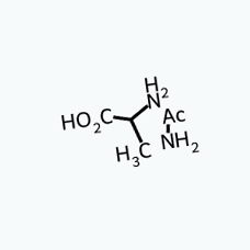 CC(N)=O.CC(N)C(=O)O